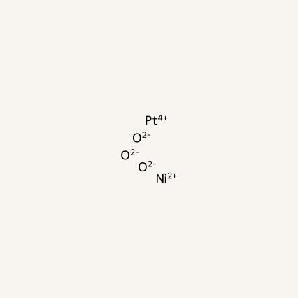 [Ni+2].[O-2].[O-2].[O-2].[Pt+4]